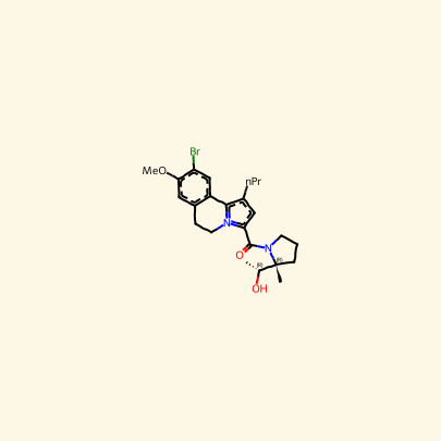 CCCc1cc(C(=O)N2CCC[C@]2(C)[C@@H](C)O)n2c1-c1cc(Br)c(OC)cc1CC2